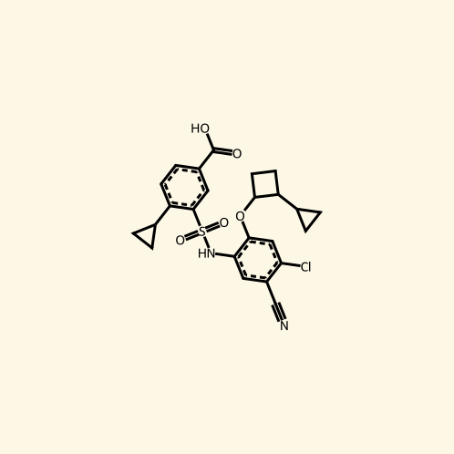 N#Cc1cc(NS(=O)(=O)c2cc(C(=O)O)ccc2C2CC2)c(OC2CCC2C2CC2)cc1Cl